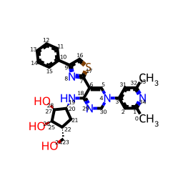 Cc1cc(N2C=C(c3nc(-c4ccccc4)cs3)C(N[C@@H]3C[C@H](CO)[C@@H](O)[C@H]3O)=NC2)cc(C)n1